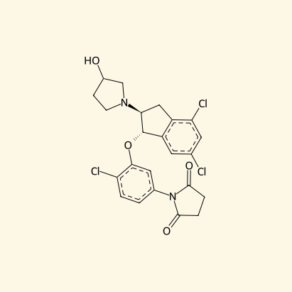 O=C1CCC(=O)N1c1ccc(Cl)c(O[C@H]2c3cc(Cl)cc(Cl)c3C[C@@H]2N2CCC(O)C2)c1